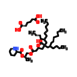 CCCCCCC(CCCC)CC(CCCC(=O)OCC(C)OC(=O)C1CCCCN1)(CC(CCCC)CCCCCC)C(=O)O.O=C(O)CCCCC(=O)O